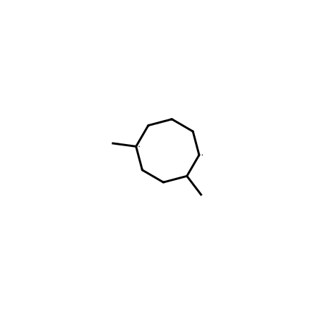 C[C]1CCC[CH]C(C)CC1